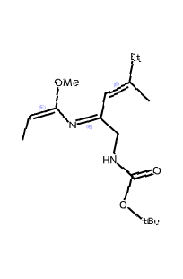 C\C=C(/N=C(\C=C(/C)CC)CNC(=O)OC(C)(C)C)OC